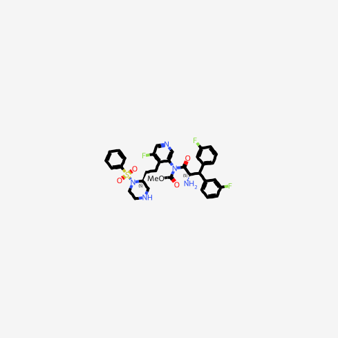 COC(=O)N(C(=O)[C@@H](N)C(c1cccc(F)c1)c1cccc(F)c1)c1cncc(F)c1CC[C@H]1CNCCN1S(=O)(=O)c1ccccc1